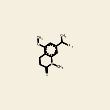 COc1cc(C(C)C)cc2c1CCC(=O)N2C